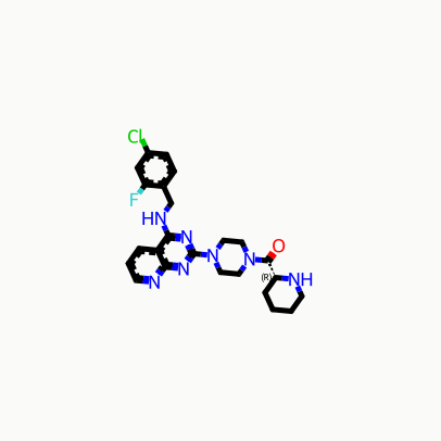 O=C([C@H]1CCCCN1)N1CCN(c2nc(NCc3ccc(Cl)cc3F)c3cccnc3n2)CC1